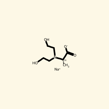 C[C@@H](C(=O)[O-])N(CCO)CCO.[Na+]